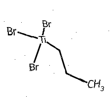 CC[CH2][Ti]([Br])([Br])[Br]